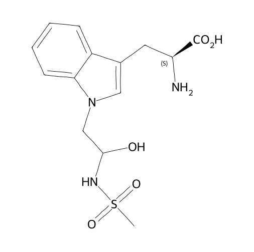 CS(=O)(=O)NC(O)Cn1cc(C[C@H](N)C(=O)O)c2ccccc21